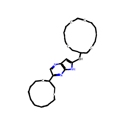 B(c1cc2ncc(C3CCCCCCCCCCC3)nc2[nH]1)C1CCCCCCCCCCCCCC1